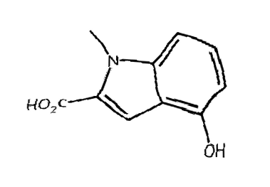 Cn1c(C(=O)O)cc2c(O)cccc21